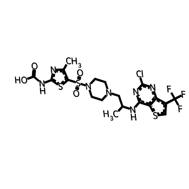 Cc1nc(NC(=O)O)sc1S(=O)(=O)N1CCN(CC(C)Nc2nc(Cl)nc3c(C(F)(F)F)csc23)CC1